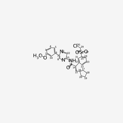 COc1cccc(-c2cnc(NC(=O)[C@H](CC3CCCC3)c3cccc(S(=O)(=O)CCl)c3)cn2)c1